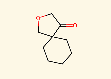 O=C1COCC12CCCCC2